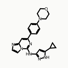 c1cn2c(Nc3cc(C4CC4)[nH]n3)nc(-c3ccc(N4CCOCC4)cc3)cc2n1